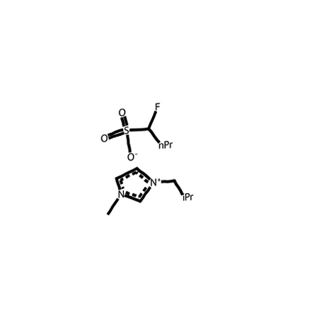 CC(C)C[n+]1ccn(C)c1.CCCC(F)S(=O)(=O)[O-]